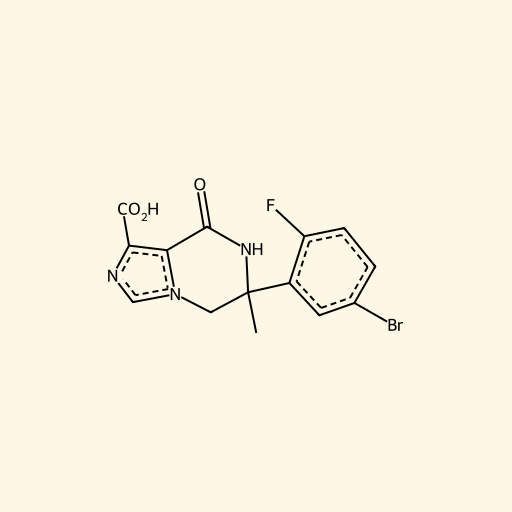 CC1(c2cc(Br)ccc2F)Cn2cnc(C(=O)O)c2C(=O)N1